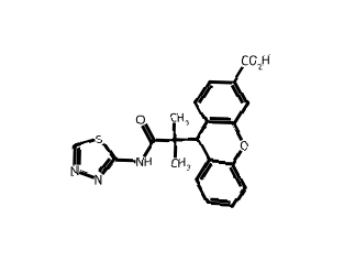 CC(C)(C(=O)Nc1nncs1)C1c2ccccc2Oc2cc(C(=O)O)ccc21